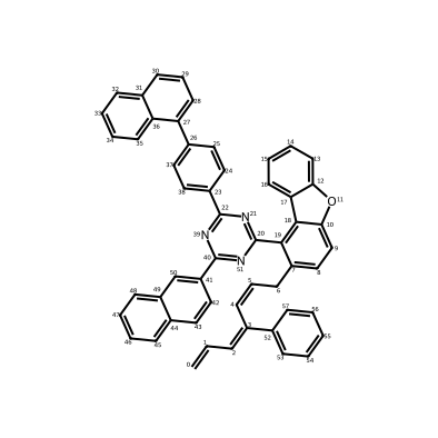 C=C/C=C(\C=C/Cc1ccc2oc3ccccc3c2c1-c1nc(-c2ccc(-c3cccc4ccccc34)cc2)nc(-c2ccc3ccccc3c2)n1)c1ccccc1